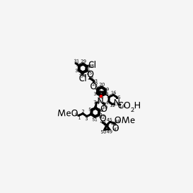 COCCCc1cc(CN(C(=O)[C@H]2CN(C(=O)O)CC[C@@H]2c2ccc(OCCOc3c(Cl)cc(C)cc3Cl)cc2)C2CC2)cc(OCC2(CC(=O)OC)CC2)c1